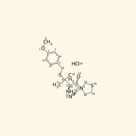 COc1ccc(CSC(C)(C)[C@H](N)C(=O)[N+]2(C#N)CCSC2)cc1.Cl